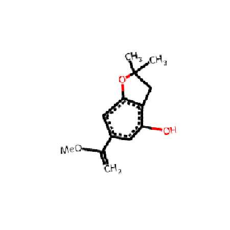 C=C(OC)c1cc(O)c2c(c1)OC(C)(C)C2